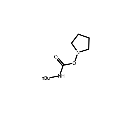 CCCCNC(=O)ON1CCCC1